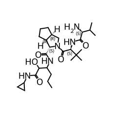 CCCC(NC(=O)[C@@H]1[C@H]2CCC[C@H]2CN1C(=O)[C@@H](NC(=O)[C@@H](N)C(C)C)C(C)(C)C)C(O)C(=O)NC1CC1